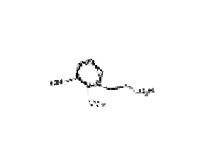 CNc1c(C=O)cccc1CCC(=O)O